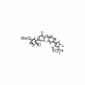 COc1cc(N2CCC(Oc3ccc(N4C[C@H](C)[C@@H](C)[C@@H]4CC(=O)O)nc3)C(C)C2)c(Cl)cn1